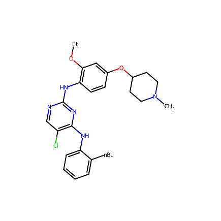 CCCCc1ccccc1Nc1nc(Nc2ccc(OC3CCN(C)CC3)cc2OCC)ncc1Cl